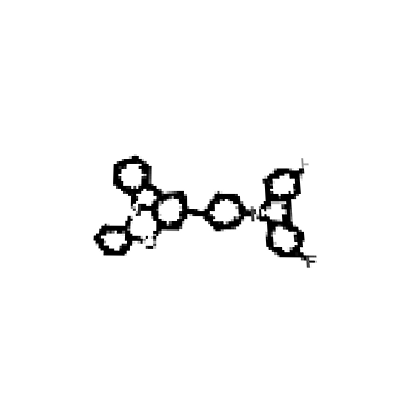 Fc1ccc2c(c1)c1cc(F)ccc1n2-c1ccc(-c2cc3c4c(c2)c2ccccc2n4-c2ccccc2O3)cc1